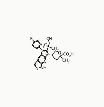 CC(C)(CC#N)c1c([C@H]2CC[C@](C)(C(=O)O)OC2)c2nc3[nH]ncc3cc2n1-c1ccc(F)cc1